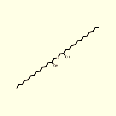 CCCCCCCCCCCCC(O)COCC(O)CCCCCCCCCCCC